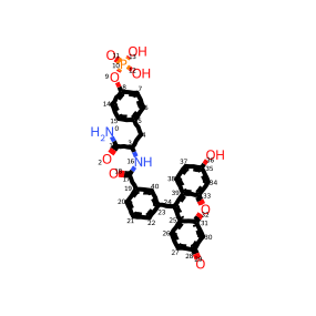 NC(=O)C(Cc1ccc(OP(=O)(O)O)cc1)NC(=O)c1cccc(-c2c3ccc(=O)cc-3oc3cc(O)ccc23)c1